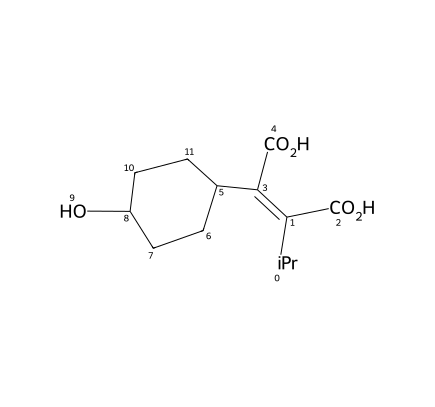 CC(C)/C(C(=O)O)=C(/C(=O)O)C1CCC(O)CC1